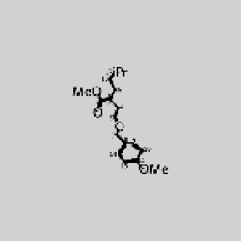 COC(=O)[C@H](CCOCc1ccc(OC)cc1)CCC(C)C